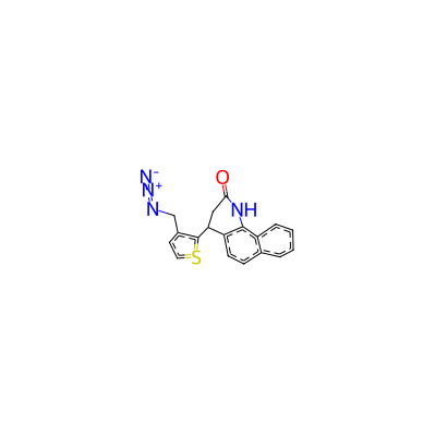 [N-]=[N+]=NCc1ccsc1C1CC(=O)Nc2c1ccc1ccccc21